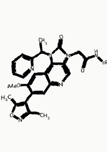 CCCNC(=O)Cn1c(=O)n(C(C)c2ccccn2)c2c3cc(OC)c(-c4c(C)noc4C)cc3ncc21